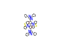 c1ccc(-c2cc(-c3ccc(-c4ccc(-c5cc(-c6ccccc6)nc(-c6ccccc6)n5)cc4N4c5ccccc5Sc5ccccc54)c(N4c5ccccc5Sc5ccccc54)c3)nc(-c3ccccc3)n2)cc1